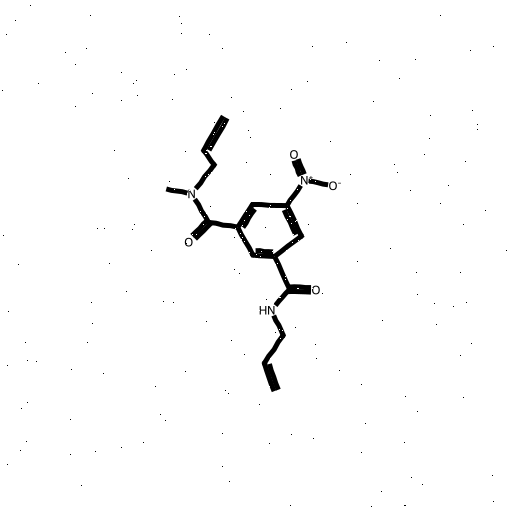 C=CCNC(=O)c1cc(C(=O)N(C)CC=C)cc([N+](=O)[O-])c1